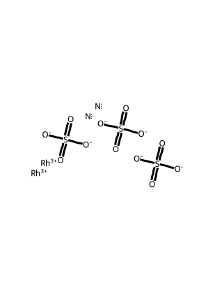 O=S(=O)([O-])[O-].O=S(=O)([O-])[O-].O=S(=O)([O-])[O-].[N].[N].[Rh+3].[Rh+3]